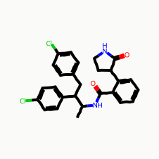 CC(NC(=O)c1ccccc1C1CCNC1=O)C(Cc1ccc(Cl)cc1)c1ccc(Cl)cc1